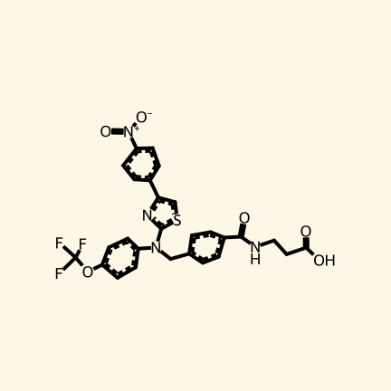 O=C(O)CCNC(=O)c1ccc(CN(c2ccc(OC(F)(F)F)cc2)c2nc(-c3ccc([N+](=O)[O-])cc3)cs2)cc1